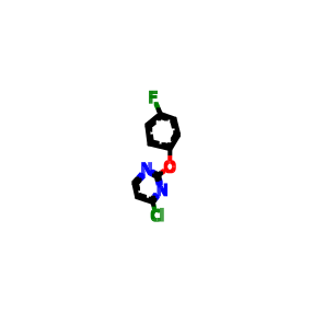 Fc1ccc(Oc2nccc(Cl)n2)cc1